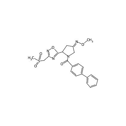 CON=C1CC(c2nc(CS(C)(=O)=O)no2)N(C(=O)c2ccc(-c3ccccc3)cc2)C1